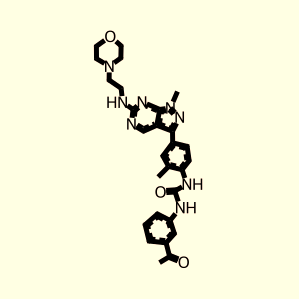 CC(=O)c1cccc(NC(=O)Nc2ccc(-c3nn(C)c4nc(NCCN5CCOCC5)ncc34)cc2C)c1